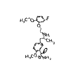 CCOc1ccc(F)cc1OCCNC(C)Cc1ccc(OC)c(S(N)(=O)=O)c1